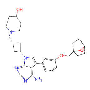 Nc1ncnc2c1c(-c1cccc(OCC34CCC(CC3)O4)c1)cn2[C@H]1C[C@@H](CN2CCC(O)CC2)C1